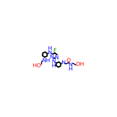 O=C(C=Nc1cccc(Nc2ncc(F)c(Nc3cccc(NCCO)c3)n2)c1)NCCO